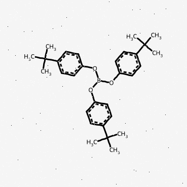 CC(C)(C)c1ccc(OB(Oc2ccc(C(C)(C)C)cc2)Oc2ccc(C(C)(C)C)cc2)cc1